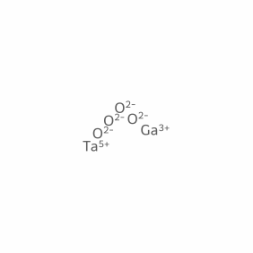 [Ga+3].[O-2].[O-2].[O-2].[O-2].[Ta+5]